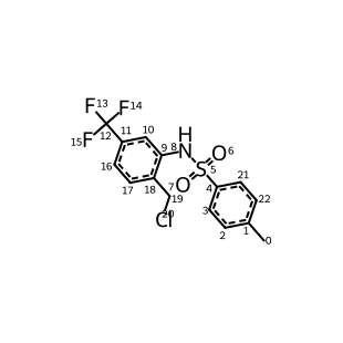 Cc1ccc(S(=O)(=O)Nc2cc(C(F)(F)F)ccc2CCl)cc1